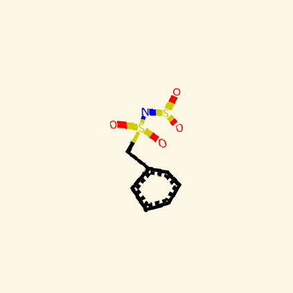 O=S(=O)=NS(=O)(=O)Cc1ccccc1